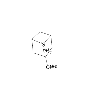 COC1CC2CC(C1)N2P